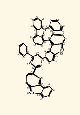 c1ccc(-c2nc(-c3ccc4oc5ccccc5c4c3)nc(-c3ccc4oc5cccc(-c6cccc7c8ccccc8n(-c8ccccc8)c67)c5c4c3)n2)cc1